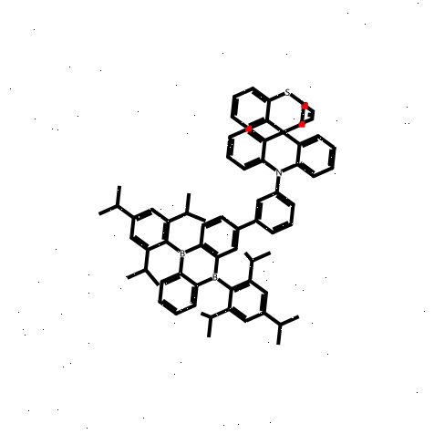 CC(C)c1cc(C(C)C)c(B2c3ccccc3B(c3c(C(C)C)cc(C(C)C)cc3C(C)C)c3cc(-c4cccc(N5c6ccccc6C6(c7ccccc7Sc7ccccc76)c6ccccc65)c4)ccc32)c(C(C)C)c1